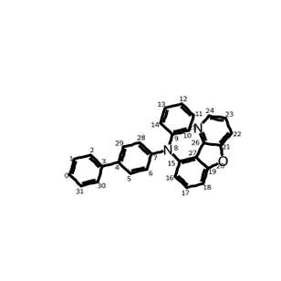 c1ccc(-c2ccc(N(c3ccccc3)c3cccc4oc5cccnc5c34)cc2)cc1